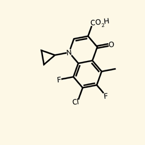 Cc1c(F)c(Cl)c(F)c2c1c(=O)c(C(=O)O)cn2C1CC1